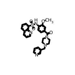 COc1cc(C(=O)N2CCN(Cc3cccnc3)CC2)ccc1NS(=O)(=O)c1cccc2cccnc12